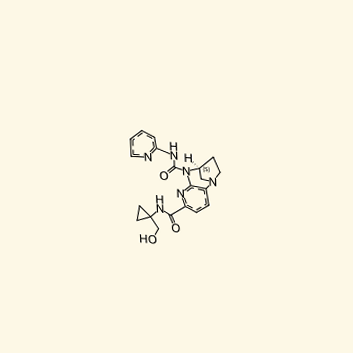 O=C(NC1(CO)CC1)c1ccc2c(n1)N(C(=O)Nc1ccccn1)[C@H]1CCN2C1